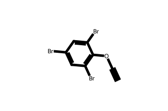 C#COc1c(Br)cc(Br)cc1Br